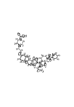 CC(C)C[C@H](NC(=O)c1cc2cc(OCCN3CCN(C(=O)O)CC3)ccc2o1)C(=O)NC1CCCN(S(=O)(=O)c2ccccn2)CC1=O